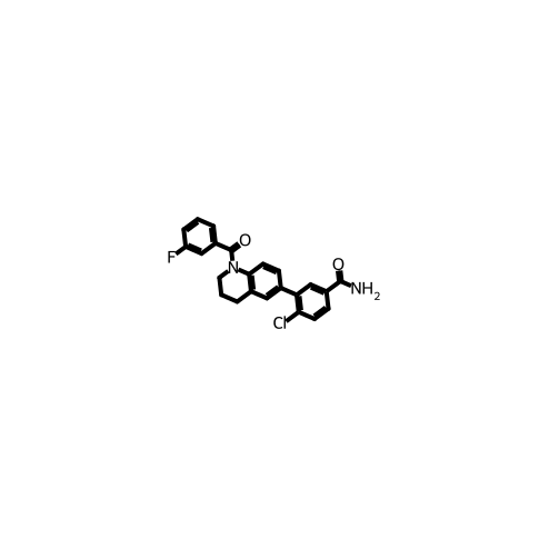 NC(=O)c1ccc(Cl)c(-c2ccc3c(c2)CCCN3C(=O)c2cccc(F)c2)c1